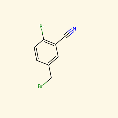 N#Cc1cc(CBr)ccc1Br